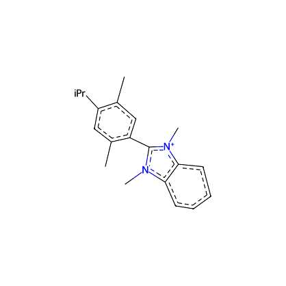 Cc1cc(C(C)C)c(C)cc1-c1n(C)c2ccccc2[n+]1C